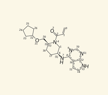 C=CC(=O)N1C[C@@H](Nc2ncnc3[nH]ccc23)CC[C@H]1COC1CCCC1